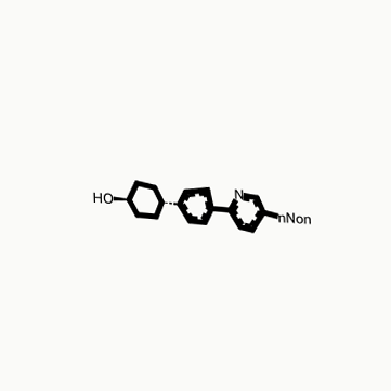 CCCCCCCCCc1ccc(-c2ccc([C@H]3CC[C@H](O)CC3)cc2)nc1